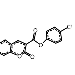 O=C(Oc1ccc(Cl)cc1)c1cc2ccccc2oc1=O